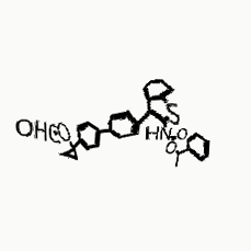 C[C@@H](OC(=O)Nc1sc2ccccc2c1-c1ccc(-c2ccc(C3(OC=O)CC3)cc2)cc1)c1ccccc1